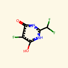 O=c1nc(C(F)F)[nH]c(O)c1F